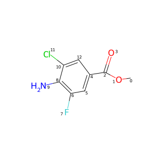 COC(=O)c1cc(F)c(N)c(Cl)c1